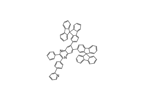 c1ccc(-c2nc3cc(-c4ccc5c(c4)C4(c6ccccc6-c6ccccc64)c4ccccc4-5)c(-c4ccc5c(c4)C4(c6ccccc6-c6ccccc64)c4ccccc4-5)cc3nc2-c2ccc(-c3ccccn3)cc2)cc1